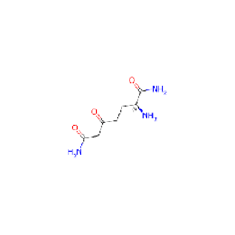 NC(=O)CC(=O)CC[C@H](N)C(N)=O